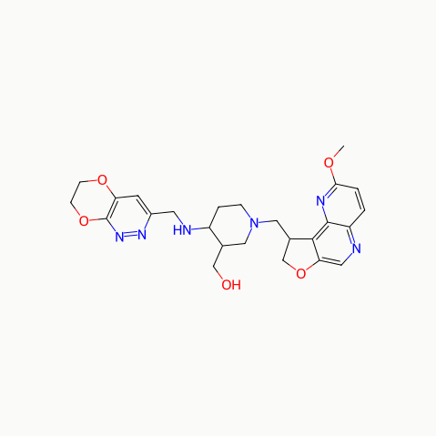 COc1ccc2ncc3c(c2n1)C(CN1CCC(NCc2cc4c(nn2)OCCO4)C(CO)C1)CO3